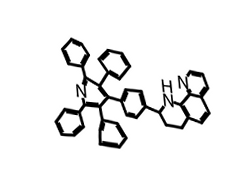 c1ccc(-c2nc(-c3ccccc3)c(-c3ccccc3)c(-c3ccc(C4CCc5ccc6cccnc6c5N4)cc3)c2-c2ccccc2)cc1